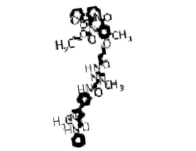 C=CCOC(=O)N1c2cc(OCCCC(=O)Nc3cn(C)c(C(=O)Nc4ccc(-c5cc(C(=O)Nc6ccccc6)n(C)c5)cc4)n3)c(C)cc2C(=O)N2CCCC[C@H]2C1OC1CCCCO1